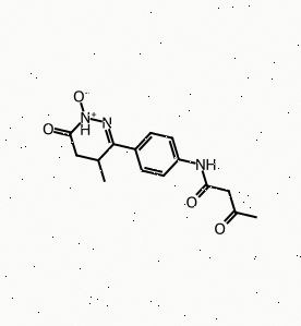 CC(=O)CC(=O)Nc1ccc(C2=N[NH+]([O-])C(=O)CC2C)cc1